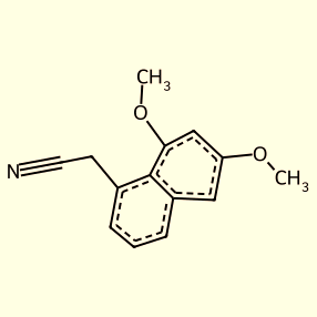 COc1cc(OC)c2c(CC#N)cccc2c1